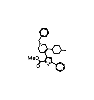 COC(=O)c1sc(-c2ccccc2)cc1C1=C(C2CCC(C)CC2)CN(Cc2ccccc2)CC1